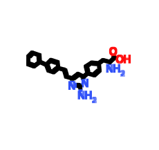 Nc1nc(/C=C/c2ccc(-c3ccccc3)cc2)cc(-c2ccc(C[C@H](N)C(=O)O)cc2)n1